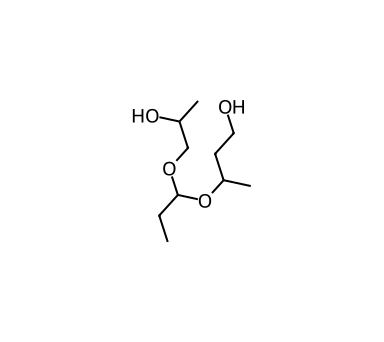 CCC(OCC(C)O)OC(C)CCO